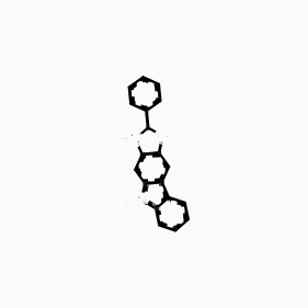 c1ccc(C2Nc3cc4[nH]c5ccccc5c4cc3O2)cc1